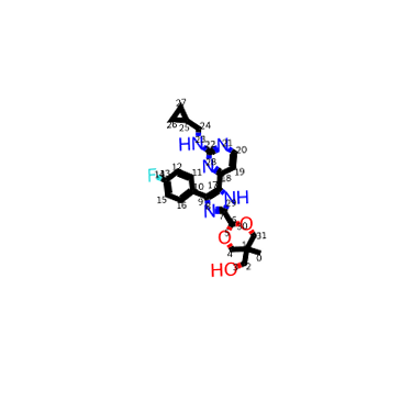 CC1(CO)COC(c2nc(-c3ccc(F)cc3)c(-c3ccnc(NCC4CC4)n3)[nH]2)OC1